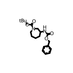 CC(C)(C)OC(=O)N1CCCCC(NC(=O)OCc2ccccc2)C1